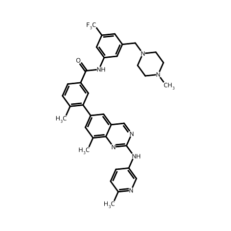 Cc1ccc(Nc2ncc3cc(-c4cc(C(=O)Nc5cc(CN6CCN(C)CC6)cc(C(F)(F)F)c5)ccc4C)cc(C)c3n2)cn1